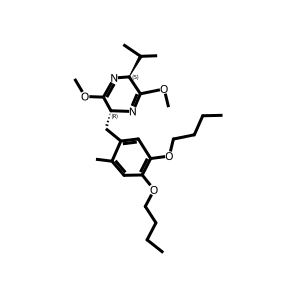 CCCCOc1cc(C)c(C[C@H]2N=C(OC)[C@H](C(C)C)N=C2OC)cc1OCCCC